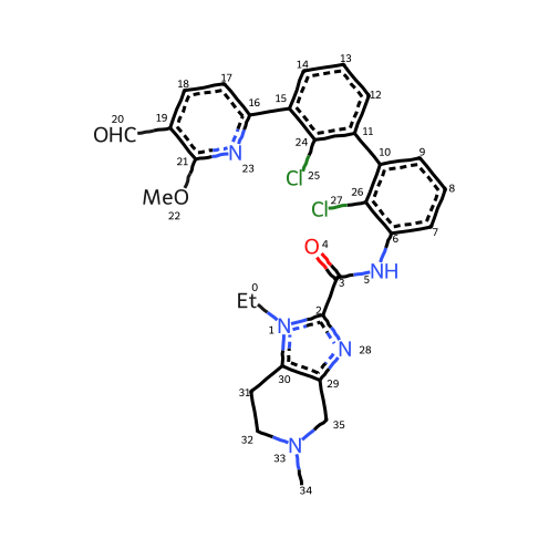 CCn1c(C(=O)Nc2cccc(-c3cccc(-c4ccc(C=O)c(OC)n4)c3Cl)c2Cl)nc2c1CCN(C)C2